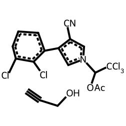 C#CCO.CC(=O)OC(n1cc(C#N)c(-c2cccc(Cl)c2Cl)c1)C(Cl)(Cl)Cl